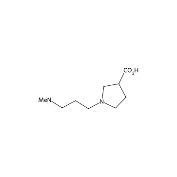 CNCCCN1CCC(C(=O)O)C1